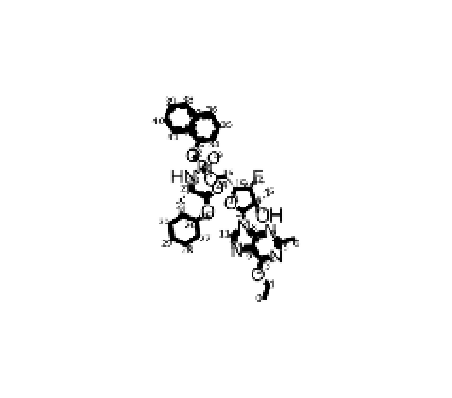 CCOc1nc(C)nc2c1ncn2[C@@H]1O[C@H](COP(=O)(N[C@@H](C)C(=O)OC2CCCCC2)Oc2cccc3ccccc23)[C@@H](F)[C@@]1(C)O